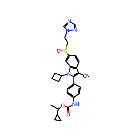 CC(OC(=O)Nc1ccc(-c2c(C#N)c3ccc([S+]([O-])CCn4cncn4)cc3n2C2CCC2)cc1)C1CC1